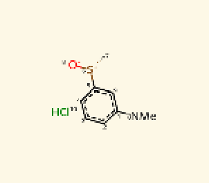 CNc1cccc([S@@+](C)[O-])c1.Cl